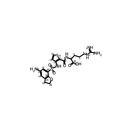 N=C(N)NCCCC(NC(=O)c1sccc1NS(=O)(=O)c1cc(N)cc2c1OCC2)C(=O)O